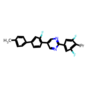 Cc1ccc(-c2ccc(-c3cnc(-c4cc(F)c(C(C)C)c(F)c4)nc3)c(F)c2)cc1